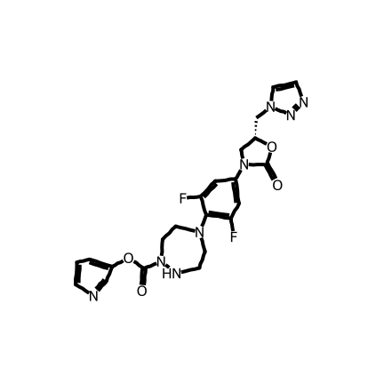 O=C(Oc1cccnc1)N1CCN(c2c(F)cc(N3C[C@H](Cn4ccnn4)OC3=O)cc2F)CCN1